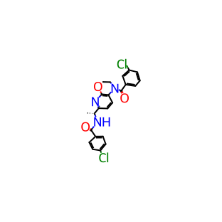 C[C@@H](NC(=O)c1ccc(Cl)cc1)c1ccc2c(n1)OCCN2C(=O)c1cccc(Cl)c1